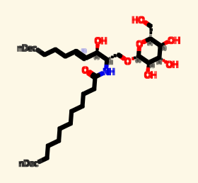 CCCCCCCCCCCCC/C=C/[C@@H](O)[C@H](CO[C@@H]1O[C@H](CO)[C@@H](O)[C@H](O)[C@H]1O)NC(=O)CCCCCCCCCCCCCCCCCCC